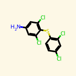 Nc1cc(Cl)c(Sc2ccc(Cl)cc2Cl)c(Cl)c1